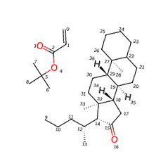 C=CC(=O)OC(C)(C)C.CCC[C@@H](C)[C@H]1C(=O)C[C@H]2[C@@H]3CCC4CCCC[C@]4(C)[C@H]3CC[C@]12C